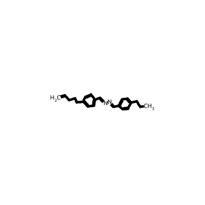 C=CCCCc1ccc(C=NN=Cc2ccc(CCC)cc2)cc1